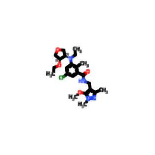 CCO[C@H]1COC[C@@H]1N(CC)c1cc(Cl)cc(C(=O)NCc2c(C)nn(C)c2OC)c1C